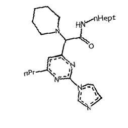 CCCCCCCNC(=O)C(c1cc(CCC)nc(-n2ccnc2)n1)N1CCCCC1